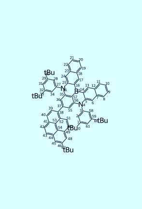 CC(C)(C)c1cc(N2c3cc4ccccc4cc3B3c4cc5ccccc5cc4N(c4cc(C(C)(C)C)cc(C(C)(C)C)c4)c4cc(-c5ccc6ccc7cc(C(C)(C)C)cc8ccc5c6c78)cc2c43)cc(C(C)(C)C)c1